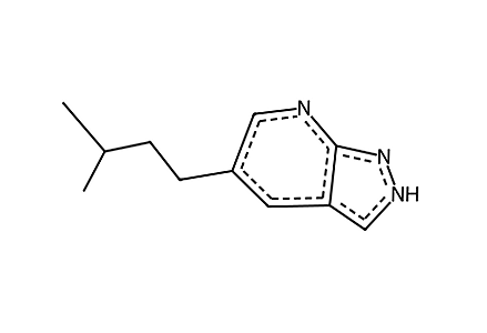 CC(C)CCc1cnc2n[nH]cc2c1